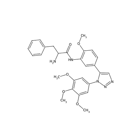 COc1ccc(-c2cnnn2-c2cc(OC)c(OC)c(OC)c2)cc1NC(=O)C(N)Cc1ccccc1